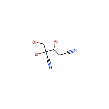 N#CCC(Br)C(Br)(C#N)CBr